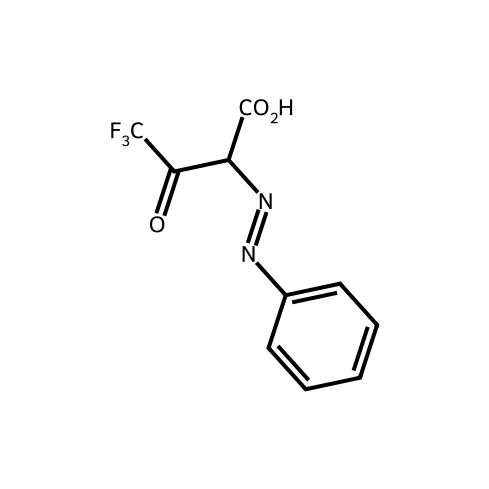 O=C(O)C(N=Nc1ccccc1)C(=O)C(F)(F)F